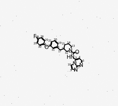 O=C(Nc1ccnc2nccn12)N1CCCC(Cc2cccc(Oc3ccc(F)cc3)c2)C1